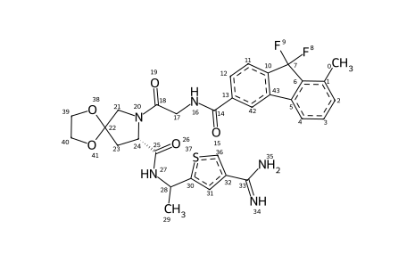 Cc1cccc2c1C(F)(F)c1ccc(C(=O)NCC(=O)N3CC4(C[C@H]3C(=O)NC(C)c3cc(C(=N)N)cs3)OCCO4)cc1-2